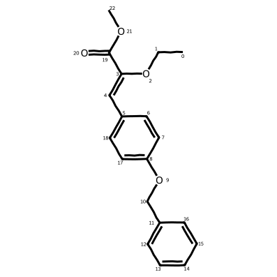 CCOC(=Cc1ccc(OCc2ccccc2)cc1)C(=O)OC